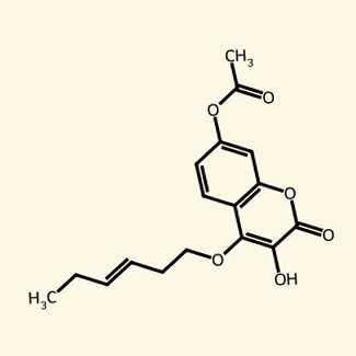 CCC=CCCOc1c(O)c(=O)oc2cc(OC(C)=O)ccc12